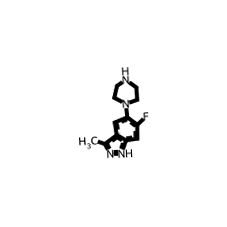 Cc1n[nH]c2cc(F)c(N3CCNCC3)cc12